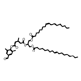 CCCCCCCCC=CCCCCCCCC(=O)OCC(COC(=O)CCCCCCC/C=C\CCCCCCCC)OC(=O)CC(C)CC(=O)Oc1c(C)cc(C=O)cc1C